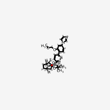 COCOc1cc(-n2ccnc2)ccc1-c1ccc(N(C)[C@H]2C[C@@H]3CC[C@H]([C@H]2F)N3C(=O)OC(C)(C)C)nn1